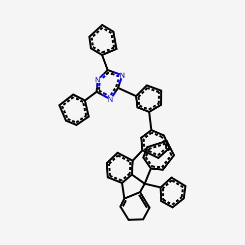 C1=C2C(=CCC1)C(c1ccccc1)(c1ccccc1)c1c2cccc1-c1cccc(-c2cccc(-c3nc(-c4ccccc4)nc(-c4ccccc4)n3)c2)c1